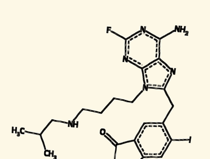 CC(C)CNCCCCn1c(Cc2cc3c(cc2I)CCC3=O)nc2c(N)nc(F)nc21